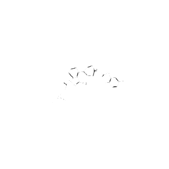 Cc1ccc(F)c(NC(=O)Nc2ccc(-c3cccc4c3c(N)nn4C(=O)CSN(N)C(=O)O)cc2)c1